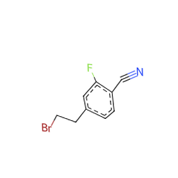 N#Cc1ccc(CCBr)cc1F